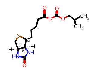 CC(C)COC(=O)OC(=O)CCCC[C@@H]1SC[C@@H]2NC(=O)N[C@@H]21